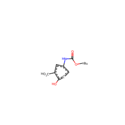 CCCCOC(=O)Nc1ccc(O)c(C(=O)O)c1